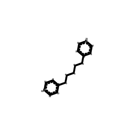 c1cc(CCCCCc2ccncc2)ccn1